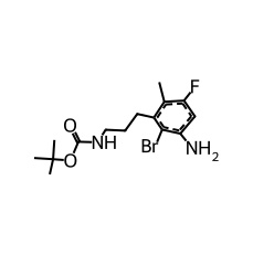 Cc1c(F)cc(N)c(Br)c1CCCNC(=O)OC(C)(C)C